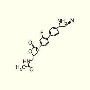 CC(=O)NC[C@H]1CN(c2ccc(-c3ccc([C@@H](N)CC#N)cc3)c(F)c2)C(=O)O1